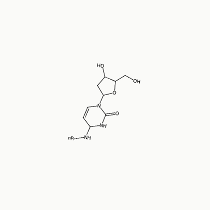 CCCNC1C=CN(C2CC(O)C(CO)O2)C(=O)N1